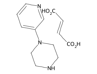 O=C(O)/C=C/C(=O)O.c1cncc(N2CCNCC2)c1